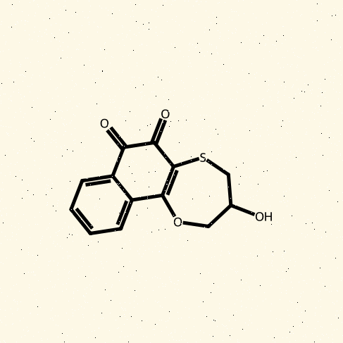 O=C1C(=O)c2ccccc2C2=C1SCC(O)CO2